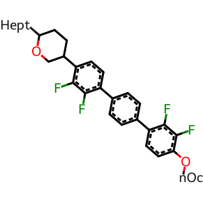 CCCCCCCCOc1ccc(-c2ccc(-c3ccc(C4CCC(CCCCCCC)OC4)c(F)c3F)cc2)c(F)c1F